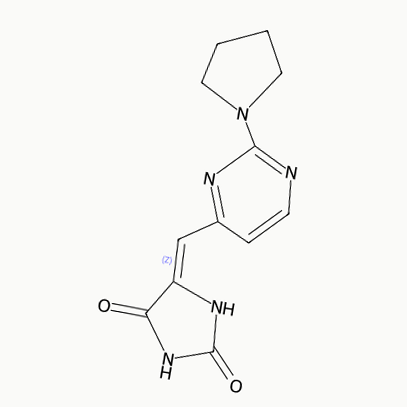 O=C1NC(=O)/C(=C/c2ccnc(N3CCCC3)n2)N1